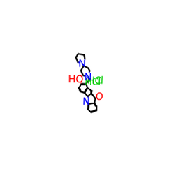 Cl.Cl.O=C1C2=Cc3c(ccc(O)c3CN3CCC(N4CCCCC4)CC3)C2=Nc2ccccc21